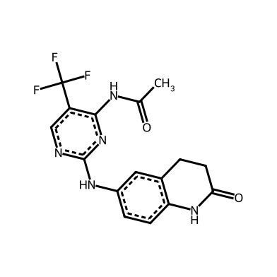 CC(=O)Nc1nc(Nc2ccc3c(c2)CCC(=O)N3)ncc1C(F)(F)F